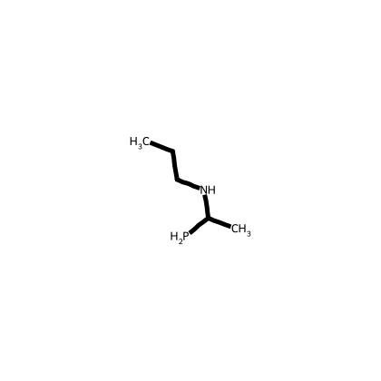 CCCNC(C)P